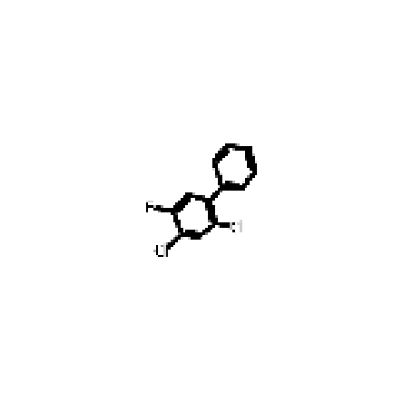 Fc1cc(-c2ccccc2)c(Cl)cc1Cl